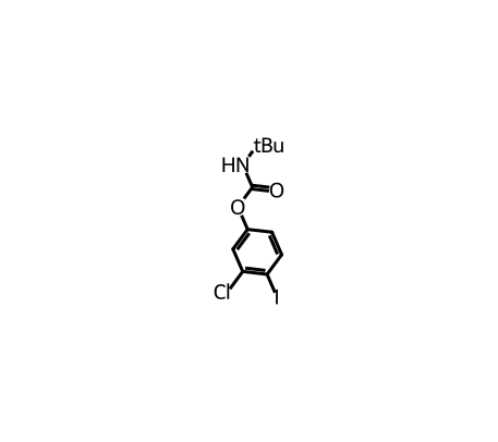 CC(C)(C)NC(=O)Oc1ccc(I)c(Cl)c1